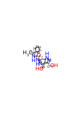 C[C@@H](NC(=O)Nc1cc2[nH]nc(CO)c2c(CO)n1)c1ccccc1